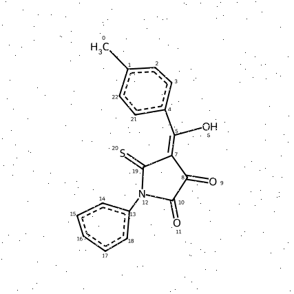 Cc1ccc(C(O)=C2C(=O)C(=O)N(c3ccccc3)C2=S)cc1